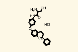 Cl.NC(CO)C(=O)Nc1ccc(Oc2ccc3c(c2)CC[C@@H](c2ccccc2)O3)nc1